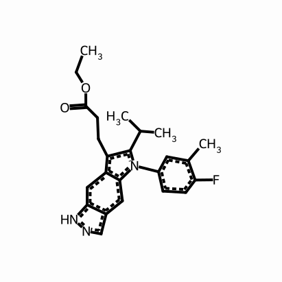 CCOC(=O)CCc1c(C(C)C)n(-c2ccc(F)c(C)c2)c2cc3cn[nH]c3cc12